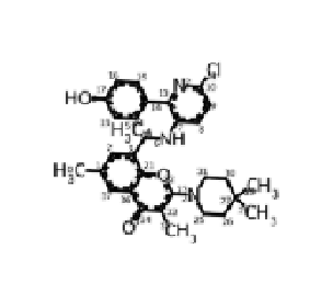 Cc1cc([C@@H](C)Nc2ccc(Cl)nc2-c2ccc(O)cc2)c2oc(N3CCC(C)(C)CC3)c(C)c(=O)c2c1